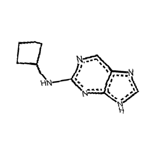 c1nc2cnc(NC3CCC3)nc2[nH]1